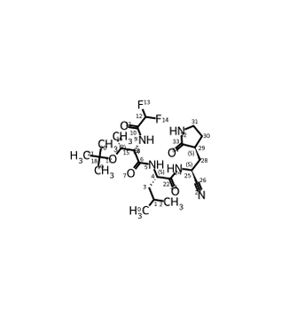 CC(C)C[C@H](NC(=O)[C@@H](NC(=O)C(F)F)[C@@H](C)OC(C)(C)C)C(=O)N[C@H](C#N)C[C@@H]1CCNC1=O